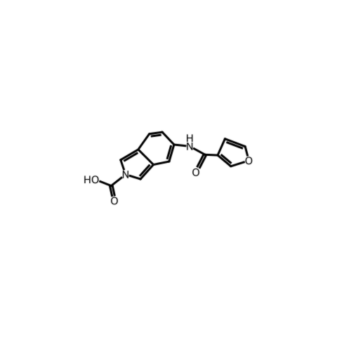 O=C(Nc1ccc2cn(C(=O)O)cc2c1)c1ccoc1